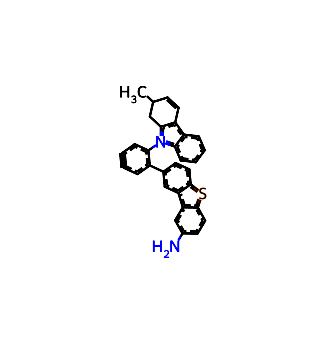 CC1C=Cc2c(n(-c3cc#ccc3-c3ccc4sc5ccc(N)cc5c4c3)c3ccccc23)C1